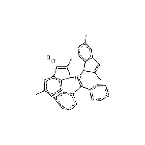 CC1=Cc2cc(C)ccc2[CH]1[Ti+2](=[C](c1ccccc1)c1ccccc1)[CH]1C(C)=Cc2cc(C)ccc21.[Cl-].[Cl-]